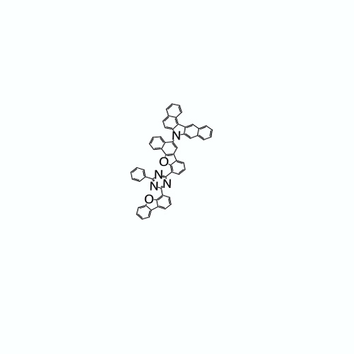 c1ccc(-c2nc(-c3cccc4c3oc3ccccc34)nc(-c3cccc4c3oc3c5ccccc5c(-n5c6cc7ccccc7cc6c6c7ccccc7ccc65)cc43)n2)cc1